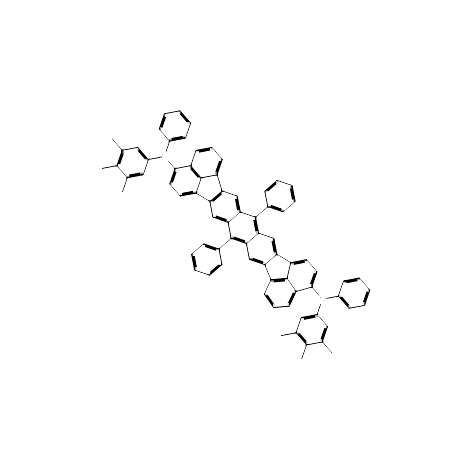 Cc1cc(N(c2ccccc2)c2ccc3c4c(cccc24)-c2cc4c(-c5ccccc5)c5cc6c(cc5c(-c5ccccc5)c4cc2-3)-c2cccc3c(N(c4ccccc4)c4cc(C)c(C)c(C)c4)ccc-6c23)cc(C)c1C